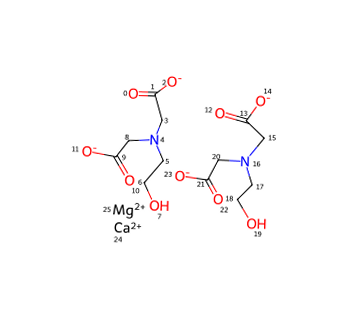 O=C([O-])CN(CCO)CC(=O)[O-].O=C([O-])CN(CCO)CC(=O)[O-].[Ca+2].[Mg+2]